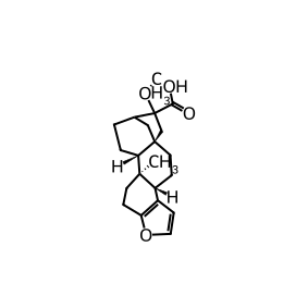 COC1(C(=O)O)C[C@@]23CC[C@@H]4c5ccoc5CC[C@@]4(C)[C@@H]2CCC1C3